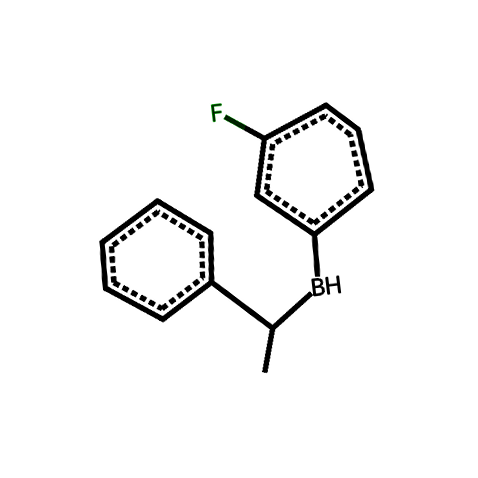 CC(Bc1cccc(F)c1)c1ccccc1